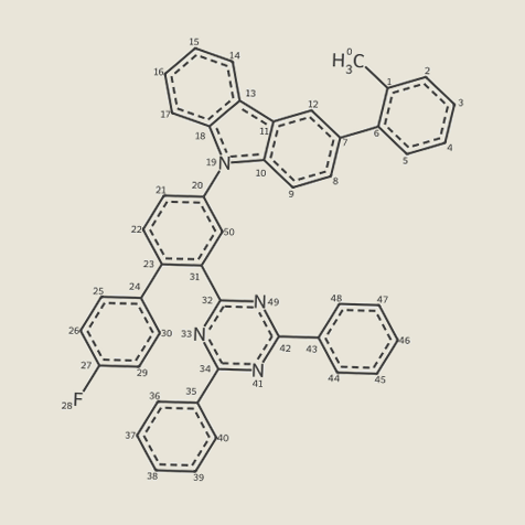 Cc1ccccc1-c1ccc2c(c1)c1ccccc1n2-c1ccc(-c2ccc(F)cc2)c(-c2nc(-c3ccccc3)nc(-c3ccccc3)n2)c1